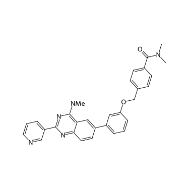 CNc1nc(-c2cccnc2)nc2ccc(-c3cccc(OCc4ccc(C(=O)N(C)C)cc4)c3)cc12